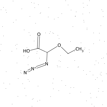 CCOC(N=[N+]=[N-])C(=O)O